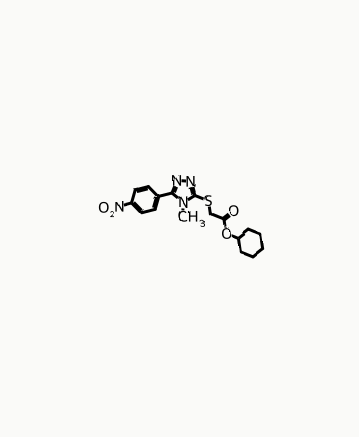 Cn1c(SCC(=O)OC2CCCCC2)nnc1-c1ccc([N+](=O)[O-])cc1